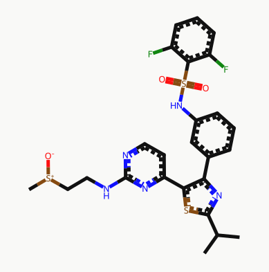 CC(C)c1nc(-c2cccc(NS(=O)(=O)c3c(F)cccc3F)c2)c(-c2ccnc(NCC[S+](C)[O-])n2)s1